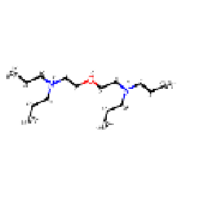 CC(C)CCN(CCOCCN(CCC(C)C)CCC(C)C)CCC(C)C